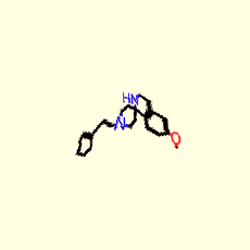 COc1ccc2c(c1)CCNC21CCN(CCc2ccccc2)CC1